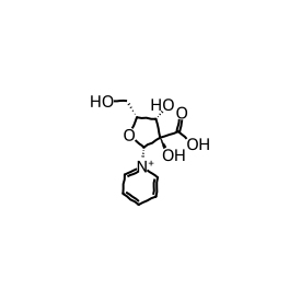 O=C(O)[C@@]1(O)[C@@H](O)[C@@H](CO)O[C@H]1[n+]1ccccc1